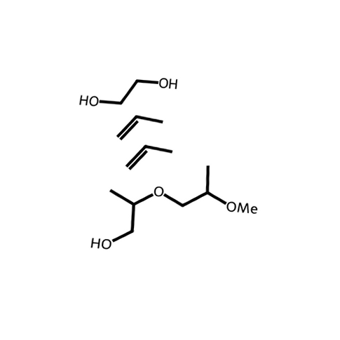 C=CC.C=CC.COC(C)COC(C)CO.OCCO